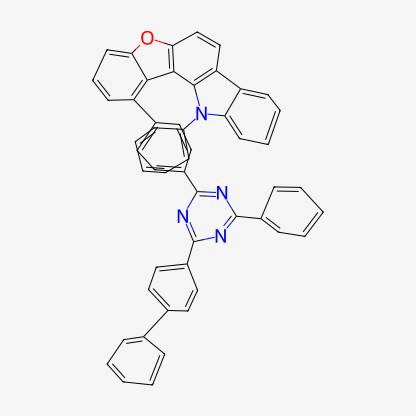 c1ccc(-c2ccc(-c3nc(-c4ccccc4)nc(-c4ccc(-c5cccc6oc7ccc8c9ccccc9n(-c9ccccc9)c8c7c56)cc4)n3)cc2)cc1